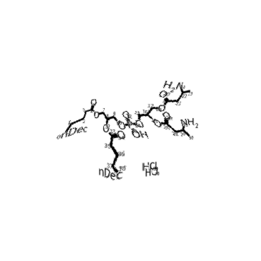 CCCCCCCCCCCCCC(=O)OCC(COP(=O)(O)OCC(COC(=O)CC(C)N)OC(=O)CC(C)N)OC(=O)CCCCCCCCCCCCC.Cl.Cl